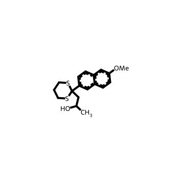 COc1ccc2cc(C3(CC(C)O)SCCCS3)ccc2c1